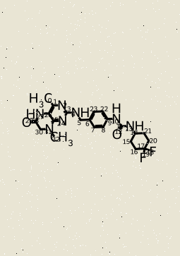 Cc1nc(NCc2ccc(NC(=O)NC3CCC(F)(F)CC3)cc2)nc2c1NC(=O)CN2C